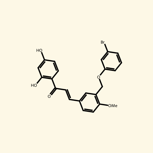 COc1ccc(/C=C/C(=O)c2ccc(O)cc2O)cc1COc1cccc(Br)c1